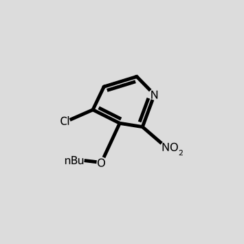 CCCCOc1c(Cl)ccnc1[N+](=O)[O-]